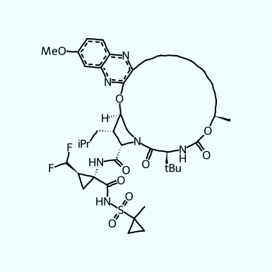 COc1ccc2nc3c(nc2c1)O[C@H]1CN(C(=O)[C@H](C(C)(C)C)NC(=O)O[C@H](C)CCCCCCC3)[C@H](C(=O)N[C@]2(C(=O)NS(=O)(=O)C3(C)CC3)C[C@H]2C(F)F)[C@@H]1CC(C)C